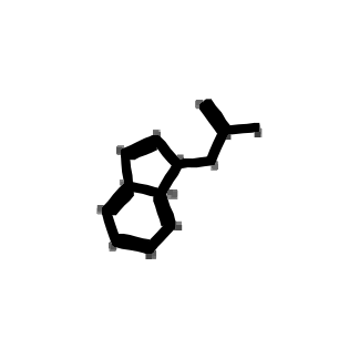 C=C(C)CC1C=Cc2ccccc21